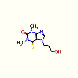 Cn1c(=S)c2c(ncn2CCCO)n(C)c1=O